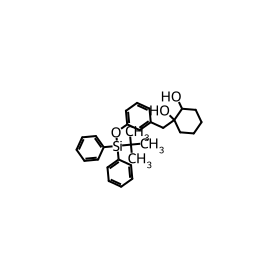 CC(C)(C)[Si](Oc1cccc(CC2(O)CCCCC2O)c1)(c1ccccc1)c1ccccc1